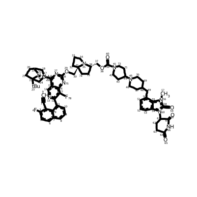 C#Cc1c(F)ccc2cccc(-c3ncc4c(N5CC6CCC(C(C)(C)C)(C5)N6C(=O)O)nc(OC[C@@]56CCCN5[C@H](COC(=O)N5CCC(N7CCC(Cc8cccc9c8n(C)c(=O)n9C8CCC(=O)NC8=O)CC7)CC5)CC6)nc4c3F)c12